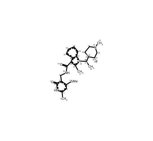 CSc1cc(C)[nH]c(=O)c1CNC(=O)c1c(C)n([C@H](C)[C@H]2CCN(C)C[C@@H]2F)c2ccccc12